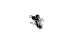 CC(NC(=O)C(C)(C)Oc1ccc(C(F)(F)F)cn1)C(Cc1ccc(Cl)cc1)c1ccccn1